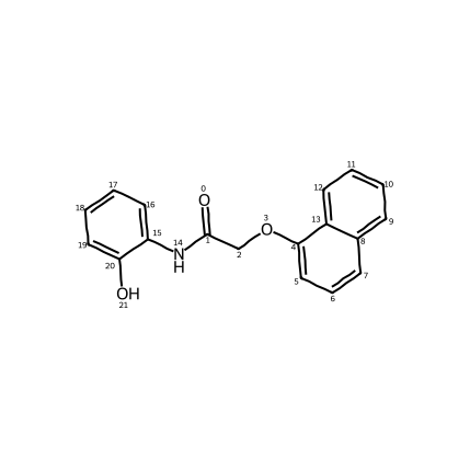 O=C(COc1cccc2ccccc12)Nc1ccccc1O